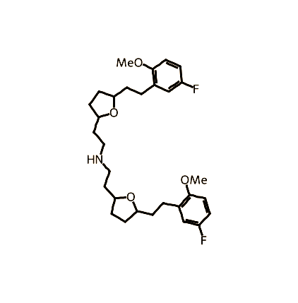 COc1ccc(F)cc1CCC1CCC(CCNCCC2CCC(CCc3cc(F)ccc3OC)O2)O1